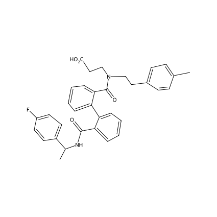 Cc1ccc(CCN(CCC(=O)O)C(=O)c2ccccc2-c2ccccc2C(=O)NC(C)c2ccc(F)cc2)cc1